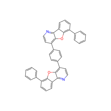 c1ccc(-c2cccc3c2oc2c(-c4ccc(-c5ccnc6c5oc5c(-c7ccccc7)cccc56)cc4)ccnc23)cc1